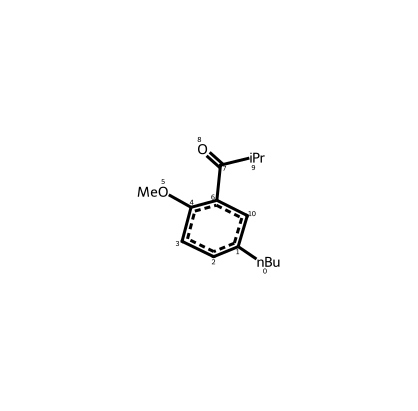 CCCCc1ccc(OC)c(C(=O)C(C)C)c1